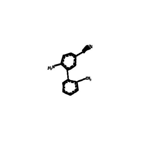 Cc1ccccc1-c1cc(C#N)ccc1N